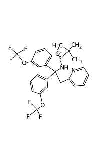 CC(C)(C)[S+]([O-])NC(Cc1ccccn1)(c1cccc(OC(F)(F)F)c1)c1cccc(OC(F)(F)F)c1